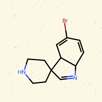 BrC1=CC2C(C=C1)N=CC21CCNCC1